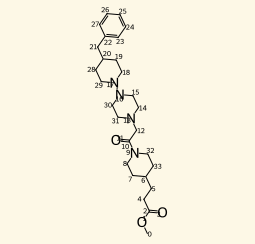 COC(=O)CCC1CCN(C(=O)CN2CCN(N3CCC(Cc4ccccc4)CC3)CC2)CC1